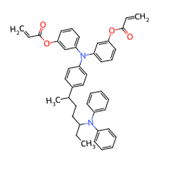 C=CC(=O)Oc1cccc(N(c2ccc(C(C)CCC(CC)N(c3ccccc3)c3ccccc3)cc2)c2cccc(OC(=O)C=C)c2)c1